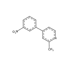 Cc1cc(-c2cccc([N+](=O)[O-])c2)ccn1